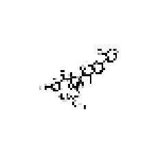 CC(C)OC(=O)N[C@H](CNC(=O)c1ccc(Cl)s1)C(=O)Nc1ccc(N2CCOCC2=O)cc1F